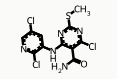 CSc1nc(Cl)c(C(N)=O)c(Nc2cc(Cl)cnc2Cl)n1